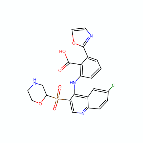 O=C(O)c1c(Nc2c(S(=O)(=O)C3CNCCO3)cnc3ccc(Cl)cc23)cccc1-c1ncco1